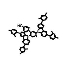 Cc1ccc(-c2ccc3c(c2)c2cc(-c4ccc(C)cc4C)ccc2n3-c2cc(-c3ccc(C#N)cc3)c(-n3c4ccc(-c5ccc(C)cc5C)cc4c4cc(-c5ccc(C)cc5C)ccc43)cn2)c(C)c1